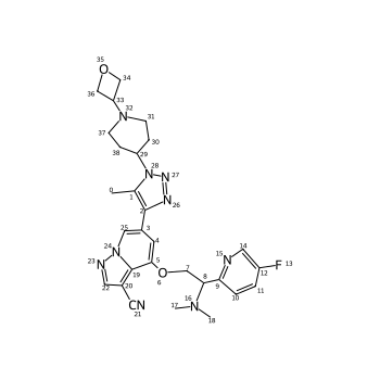 Cc1c(-c2cc(OCC(c3ccc(F)cn3)N(C)C)c3c(C#N)cnn3c2)nnn1C1CCN(C2COC2)CC1